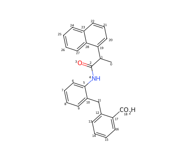 CC(C(=O)Nc1ccccc1Cc1ccccc1C(=O)O)c1cccc2ccccc12